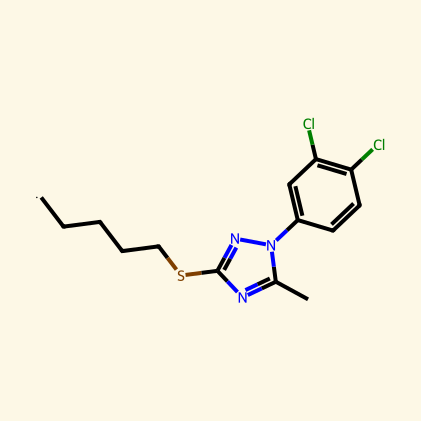 [CH2]CCCCSc1nc(C)n(-c2ccc(Cl)c(Cl)c2)n1